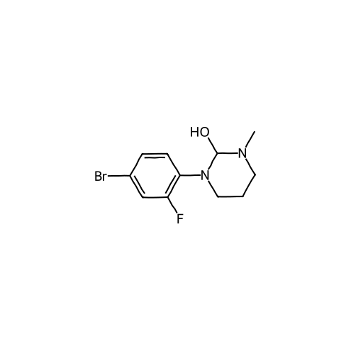 CN1CCCN(c2ccc(Br)cc2F)C1O